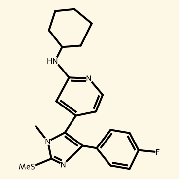 CSc1nc(-c2ccc(F)cc2)c(-c2ccnc(NC3CCCCC3)c2)n1C